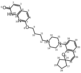 O=c1ccc2ccc(OCCCCN3CCN(c4cccc5c4OC4(C=C5)CCCC4)CC3)nc2[nH]1